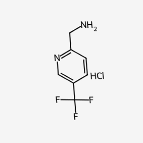 Cl.NCc1ccc(C(F)(F)F)cn1